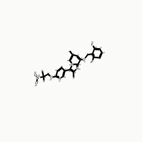 Cc1cc(OCc2c(F)cccc2F)c2nc(C)c(-c3ccc(OCC(C)(C)[N+](=O)[O-])nc3)n2c1